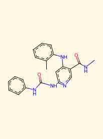 CNC(=O)c1cnc(NC(=O)Nc2ccccc2)cc1Nc1ccccc1C